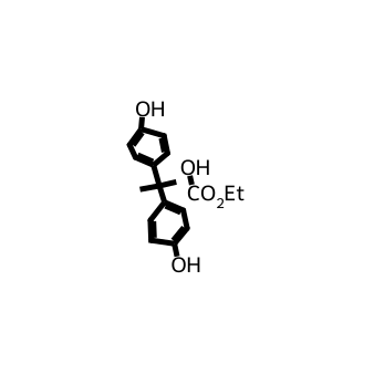 CC(C)(c1ccc(O)cc1)c1ccc(O)cc1.CCOC(=O)O